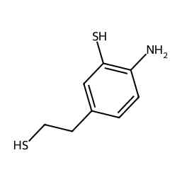 Nc1ccc(CCS)cc1S